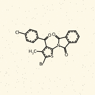 Cc1c(Br)sc(N2C(=O)c3ccccc3C2=O)c1C(=O)c1ccc(Cl)cc1